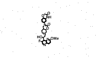 COc1ccc2ncc(F)c(C(O)CN3CCC4CN(c5ccc6c(c5)NC(=O)CO6)C(=O)OC4C3)c2n1